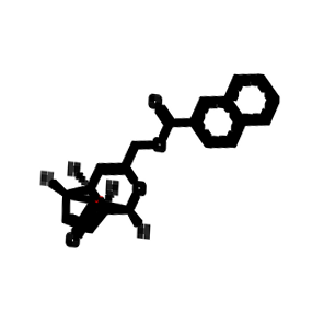 O=C(OCC1=C[C@H]2[C@@H]3C=C[C@H]2C(=O)O[C@@H]3O1)c1ccc2ccccc2c1